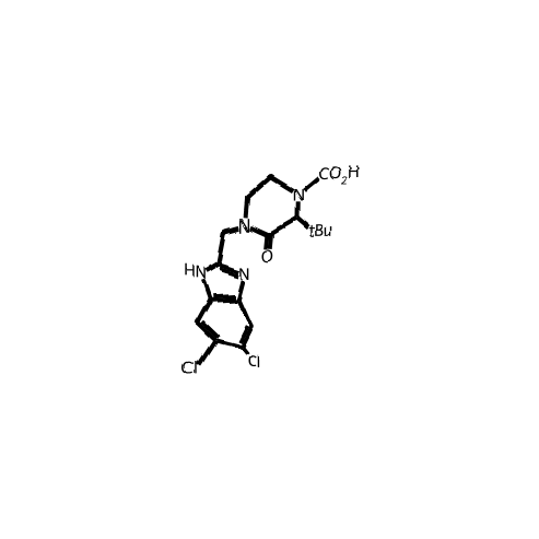 CC(C)(C)C1C(=O)N(Cc2nc3cc(Cl)c(Cl)cc3[nH]2)CCN1C(=O)O